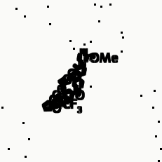 COC[C@H]1CN(c2ccc3c4c(c(=O)oc3c2C)CN(C(=O)c2cc(OC3CCC3)c(C(=O)NS(=O)(=O)N3CCCC3)c(C(F)(F)F)c2)CC4)CCN1C